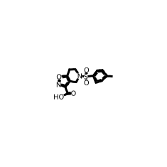 Cc1ccc(S(=O)(=O)N2CCc3onc(C(=O)O)c3C2)cc1